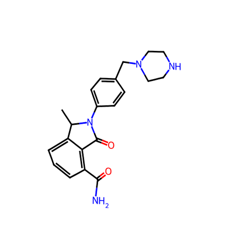 CC1c2cccc(C(N)=O)c2C(=O)N1c1ccc(CN2CCNCC2)cc1